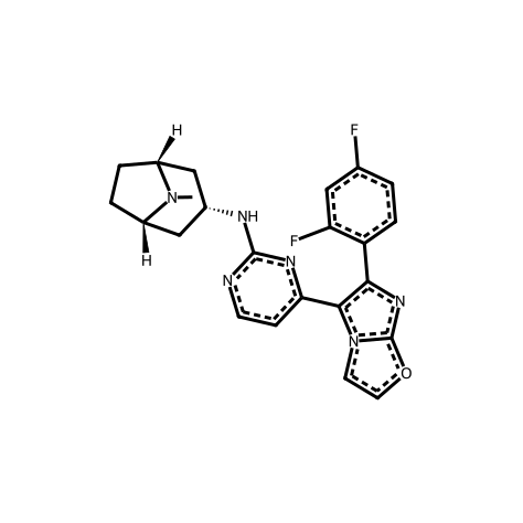 CN1[C@@H]2CC[C@H]1C[C@@H](Nc1nccc(-c3c(-c4ccc(F)cc4F)nc4occn34)n1)C2